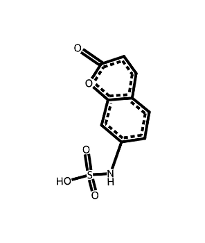 O=c1ccc2ccc(NS(=O)(=O)O)cc2o1